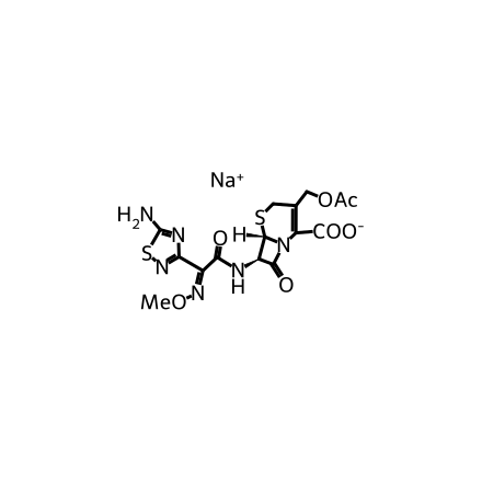 CON=C(C(=O)N[C@@H]1C(=O)N2C(C(=O)[O-])=C(COC(C)=O)CS[C@@H]12)c1nsc(N)n1.[Na+]